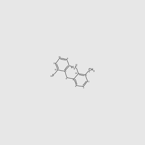 Cc1cccc(Cc2ccccc2F)c1C